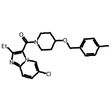 CCc1nc2ccc(Cl)cn2c1C(=O)N1CCC(OCc2ccc(C)cc2)CC1